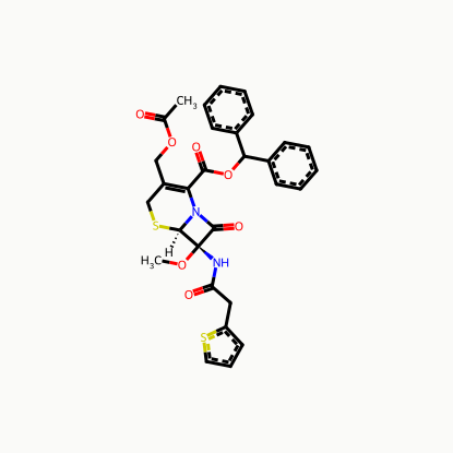 CO[C@@]1(NC(=O)Cc2cccs2)C(=O)N2C(C(=O)OC(c3ccccc3)c3ccccc3)=C(COC(C)=O)CS[C@@H]21